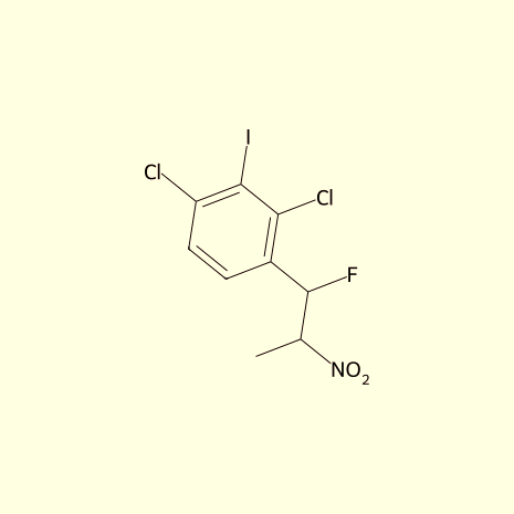 CC(C(F)c1ccc(Cl)c(I)c1Cl)[N+](=O)[O-]